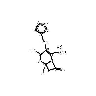 Cl.NC1S[C@@H]2CC(=O)N2C(C(=O)O)=C1SCc1csnn1